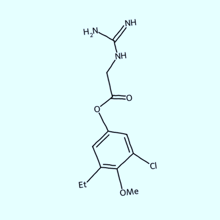 CCc1cc(OC(=O)CNC(=N)N)cc(Cl)c1OC